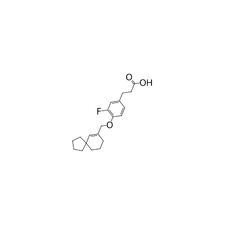 O=C(O)CCc1ccc(OCC2=CC3(CCCC3)CCC2)c(F)c1